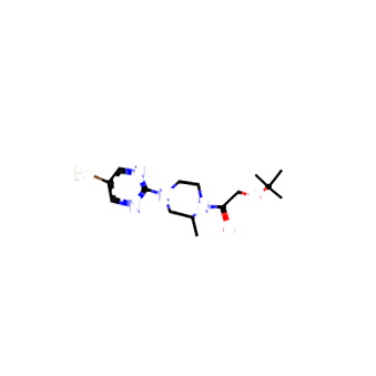 CC1CN(c2ncc(Br)cn2)CCN1C(=O)COC(C)(C)C